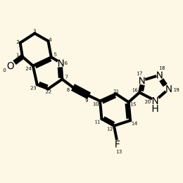 O=C1CCCc2nc(C#Cc3cc(F)cc(-c4nnn[nH]4)c3)ccc21